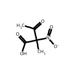 CC(=O)C(C)(C(=O)O)[N+](=O)[O-]